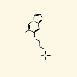 CC(=O)c1cn2ccnc2cc1OCCO[Si](C)(C)C(C)(C)C